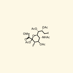 COC(=O)C1(OC(C)=O)O[C@@H]([C@H](OC(C)=O)[C@@H](CI)OC(C)=O)[C@H](NC(C)=O)[C@@H](OC(C)=O)[C@H]1F